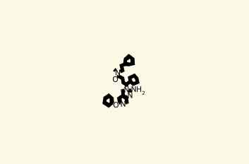 CN(CCc1ccccc1)C(=O)CCC(C1CCCCC1)N1Cc2cc(Oc3ccccc3)ncc2N=C1N